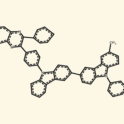 Cc1ccc2c(c1)c1cc(-c3ccc4c(c3)c3ccccc3n4-c3ccc(-c4nc5ccccc5nc4-c4ccccc4)cc3)ccc1n2-c1ccccc1